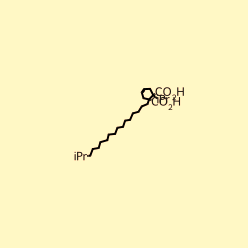 CC(C)CCCCCCCCCCCCCCCC1(C(=O)O)CC=CCC1(C(=O)O)C(C)C